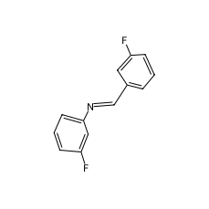 Fc1cccc(/C=N/c2cccc(F)c2)c1